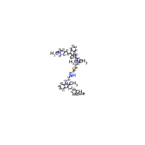 C/C=C(\C=C/NC)/C=C/c1c(C)n(CCCNCCSSCC[N+](C)(C)CCCn2c(C)c(/C=C/c3cc[n+](C)cc3)c3ccccc32)c2ccccc12